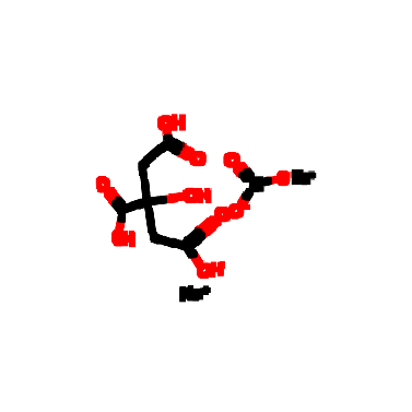 O=C(O)CC(O)(CC(=O)O)C(=O)O.O=[Si]([O-])[O-].[Na+].[Na+]